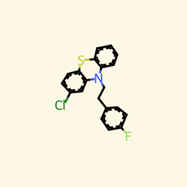 Fc1ccc(CCN2c3ccccc3Sc3ccc(Cl)cc32)cc1